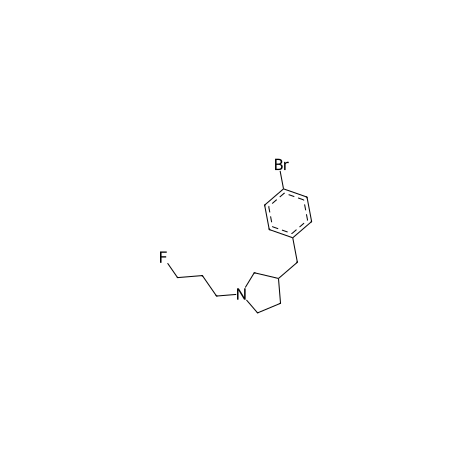 FCCCN1CCC(Cc2ccc(Br)cc2)C1